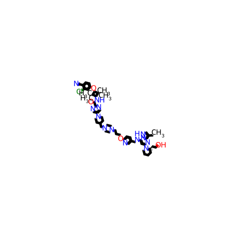 CCc1cnn2c(NCc3ccc(OCCCN4CCN(CC5CCN(c6cnc(C(=O)NC7C(C)(C)C(Oc8ccc(C#N)c(Cl)c8)C7(C)C)nc6)CC5)CC4)nc3)cc(N3CCCC[C@@H]3CCO)nc12